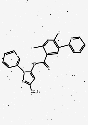 CCOC(=O)c1cc(NC(=O)c2cc(-c3ccccn3)c(Cl)cc2Cl)n(-c2ccccc2)n1